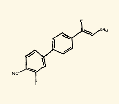 CCCCC=C(F)c1ccc(-c2ccc(C#N)c(F)c2)cc1